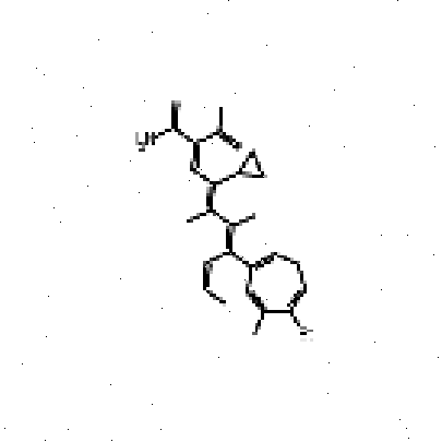 C=C(C)\C(=C/C(=C(C)/C(C)=C(\C=C/C)C1=CCC=C(CC)C(C)=C1)C1CC1)C(=C)N